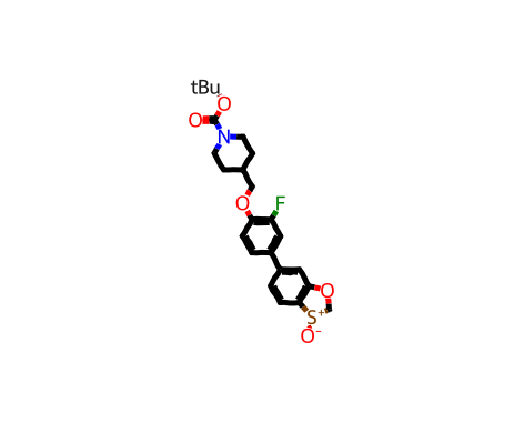 CC(C)(C)OC(=O)N1CCC(COc2ccc(-c3ccc4c(c3)OC[S@@+]4[O-])cc2F)CC1